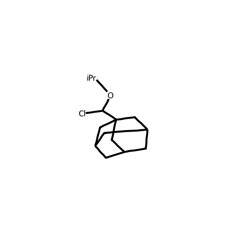 CC(C)OC(Cl)C12CC3CC(CC(C3)C1)C2